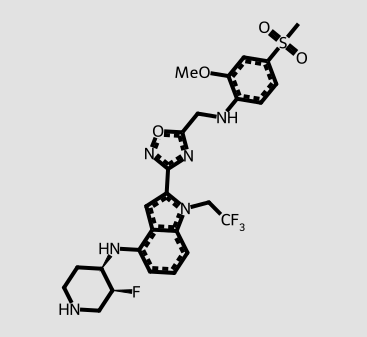 COc1cc(S(C)(=O)=O)ccc1NCc1nc(-c2cc3c(N[C@@H]4CCNC[C@@H]4F)cccc3n2CC(F)(F)F)no1